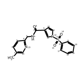 Cc1ccc(CNC(=O)c2ccn(S(=O)(=O)c3ccccc3)c2)nc1